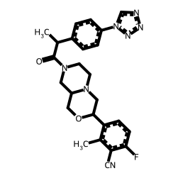 Cc1c(C2CN3CCN(C(=O)C(C)c4ccc(-n5cnnn5)cc4)CC3CO2)ccc(F)c1C#N